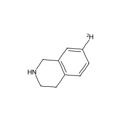 [2H]c1ccc2c(c1)CNCC2